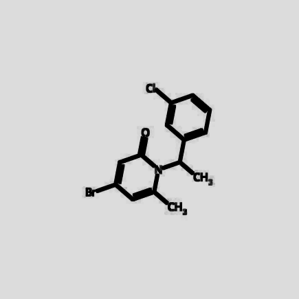 Cc1cc(Br)cc(=O)n1C(C)c1cccc(Cl)c1